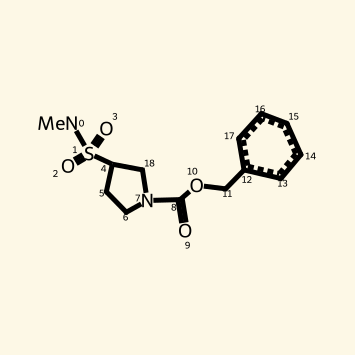 CNS(=O)(=O)C1CCN(C(=O)OCc2ccccc2)C1